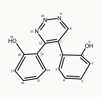 Oc1ccccc1-c1cnnnc1-c1ccccc1O